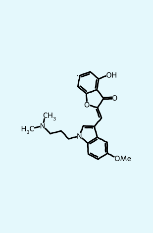 COc1ccc2c(c1)c(/C=C1\Oc3c[c]cc(O)c3C1=O)cn2CCCN(C)C